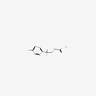 CC(C)(C)OC(=O)CC[C@](C)(C#N)c1ccc(Br)cc1